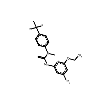 C=C(Nc1cc(C(F)(F)F)cc(OCC(F)(F)F)n1)N(C)c1ccc(C(C)(F)F)cc1